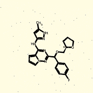 Cc1cc(Nc2nc(C(OC[C@H]3CCCO3)c3ccc(F)cc3)nn3cccc23)n[nH]1